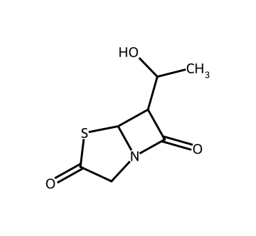 CC(O)C1C(=O)N2CC(=O)SC12